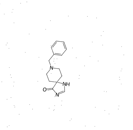 O=C1N=CNC12CCN(Cc1ccccc1)CC2